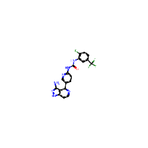 Nc1n[nH]c2ccnc(-c3ccc(NC(=O)Nc4cc(C(F)(F)F)ccc4F)nc3)c12